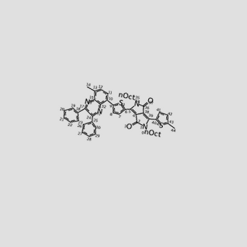 CCCCCCCCN1C(=O)C2=C(c3ccc(-c4ccc(C)c5nc(-c6ccccc6)c(-c6ccccc6)nc45)s3)N(CCCCCCCC)C(=O)C2=C1c1ccc(C)s1